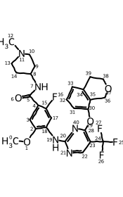 COc1cc(C(=O)NC2CCN(C)CC2)c(F)cc1Nc1ncc(C(F)(F)F)c(Oc2cccc3c2COCC3)n1